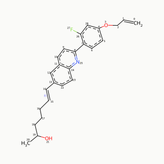 C=CCOc1ccc(-c2ccc3cc(/C=C/CCCC(C)O)ccc3n2)c(F)c1